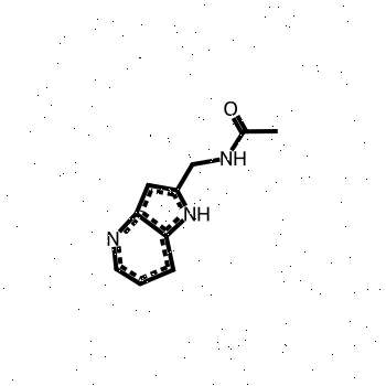 CC(=O)NCc1cc2ncccc2[nH]1